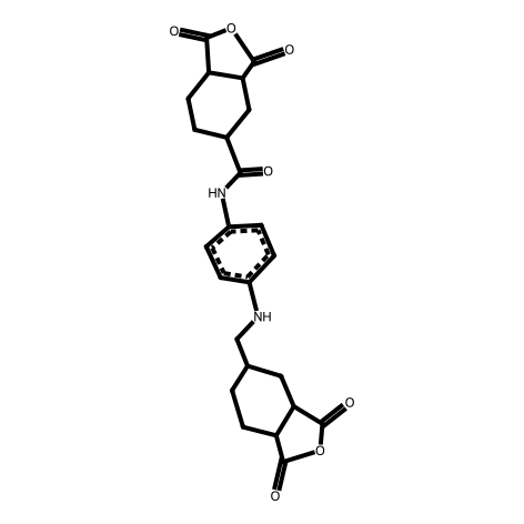 O=C(Nc1ccc(NCC2CCC3C(=O)OC(=O)C3C2)cc1)C1CCC2C(=O)OC(=O)C2C1